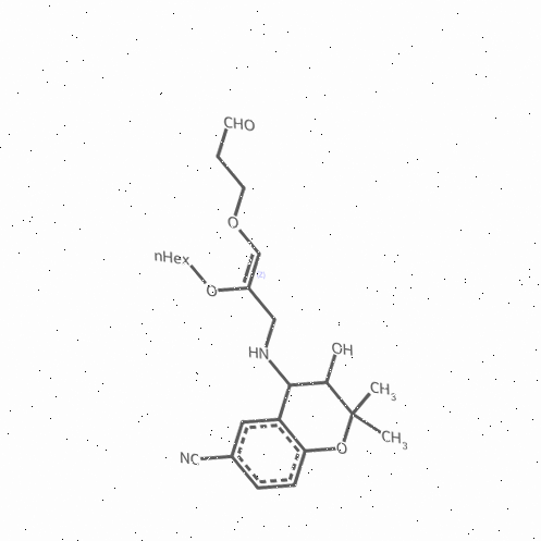 CCCCCCO/C(=C\OCCC=O)CNC1c2cc(C#N)ccc2OC(C)(C)C1O